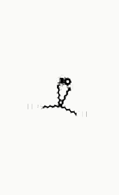 CCCCCCCC[N+](CCCCCCCC)(CCCCCCCC)CCCCCCCC.O=S(=O)([O-])c1ccccc1